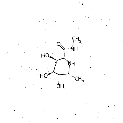 CNC(=O)[C@@H]1N[C@H](C)[C@H](O)[C@@H](O)[C@H]1O